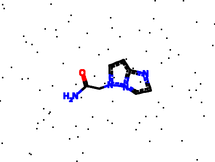 NC(=O)Cn1ccc2nccn21